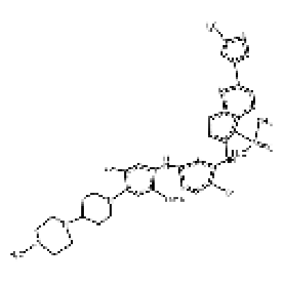 CCc1cc(Nc2ncc(Br)c(Nc3ccc4nc(-c5cnn(C)c5)ccc4c3P(C)(C)=O)n2)c(OC)cc1N1CCC(N2CCN(C)CC2)CC1